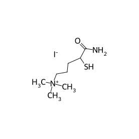 C[N+](C)(C)CCCC(S)C(N)=O.[I-]